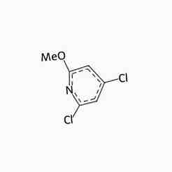 COc1cc(Cl)cc(Cl)n1